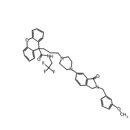 COc1cccc(CN2Cc3ccc(N4CCN(CCCC5(C(=O)NCC(F)(F)F)c6ccccc6Oc6ccccc65)CC4)cc3C2=O)c1